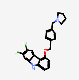 Clc1cc2[nH]c3cccc(OCc4ccc(CN5CCCC5)cc4)c3c2cc1Cl